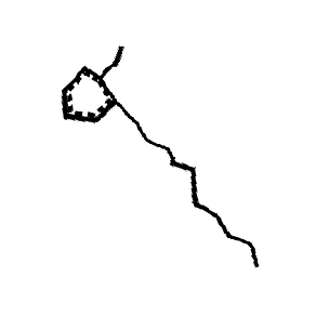 CCCCCCCCCCc1ccccc1CC